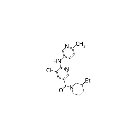 CC[C@H]1CCCN(C(=O)c2cnc(Nc3ccc(C)nc3)c(Cl)c2)C1